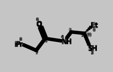 CC[C@H](S)CNC(=O)CC(C)C